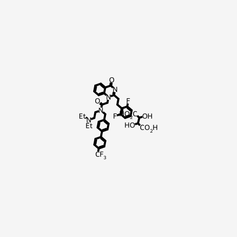 CCN(CC)CCN(Cc1ccc(-c2ccc(C(F)(F)F)cc2)cc1)C(=O)Cn1c(CCc2c(F)cccc2F)nc(=O)c2ccccc21.O=C(O)C(O)C(O)C(=O)O